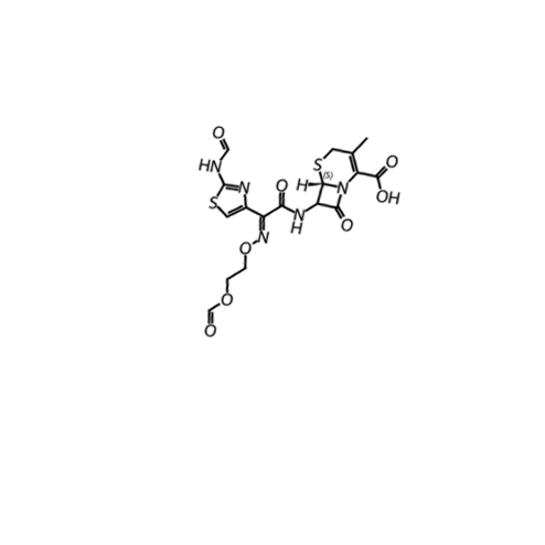 CC1=C(C(=O)O)N2C(=O)C(NC(=O)C(=NOCCOC=O)c3csc(NC=O)n3)[C@@H]2SC1